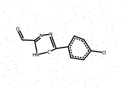 O=CC1=NN=C(c2ccc(Cl)cc2)CN1